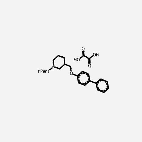 CCCCCN1CCCC(COc2ccc(-c3ccccc3)cc2)C1.O=C(O)C(=O)O